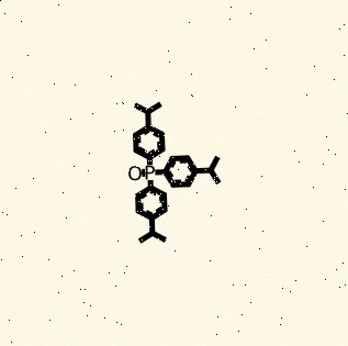 CC(C)c1ccc(P(=O)(c2ccc(C(C)C)cc2)c2ccc(C(C)C)cc2)cc1